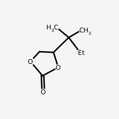 CCC(C)(C)C1COC(=O)O1